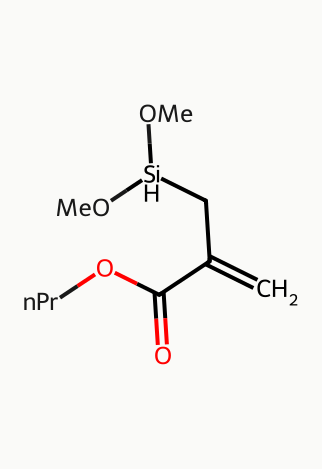 C=C(C[SiH](OC)OC)C(=O)OCCC